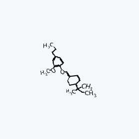 CCCc1ccc(OC=C2CCC(C(C)(C)CC)CC2)c(OC)c1